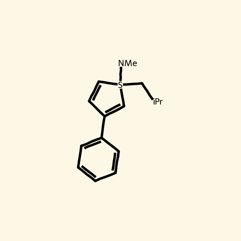 CNS1(CC(C)C)C=CC(c2ccccc2)=C1